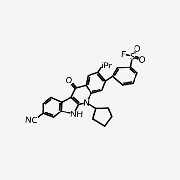 CC(C)c1cc2c(=O)c3c4ccc(C#N)cc4[nH]c3n(C3CCCC3)c2cc1-c1cccc(S(=O)(=O)F)c1